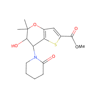 COC(=O)c1cc2c(s1)C(N1CCCCC1=O)C(O)C(C)(C)O2